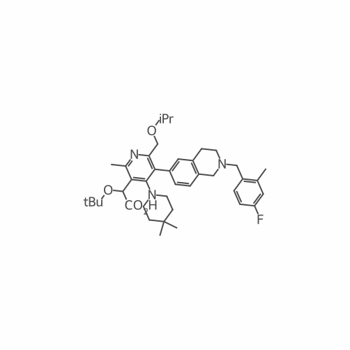 Cc1cc(F)ccc1CN1CCc2cc(-c3c(COC(C)C)nc(C)c(C(OC(C)(C)C)C(=O)O)c3N3CCC(C)(C)CC3)ccc2C1